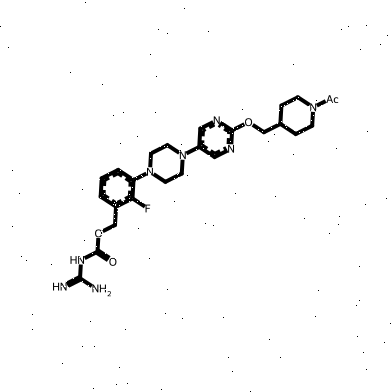 CC(=O)N1CCC(COc2ncc(N3CCN(c4cccc(COC(=O)NC(=N)N)c4F)CC3)cn2)CC1